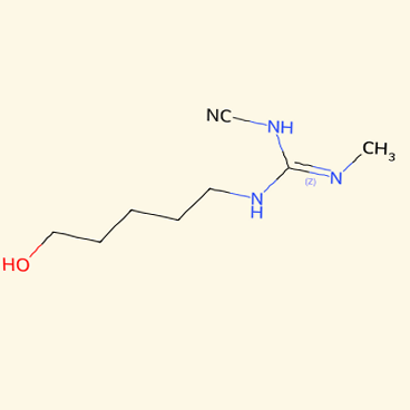 C/N=C(\NC#N)NCCCCCO